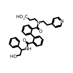 O=C(O)CCN(CCc1ccncc1)C(=O)c1ccccc1-c1ccccc1C(=O)NC(CO)c1ccccc1